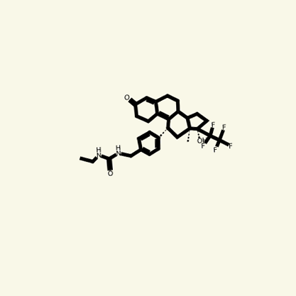 CCNC(=O)NCc1ccc([C@H]2C[C@@]3(C)C(CC[C@@]3(O)C(F)(F)C(F)(F)F)C3CCC4=CC(=O)CCC4=C32)cc1